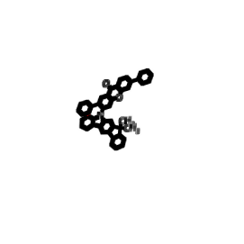 CC1(C)c2ccccc2-c2cc3c4ccccc4n(-c4cc5oc6cc(-c7ccccc7)ccc6c(=O)c5cc4-c4ccccc4)c3cc21